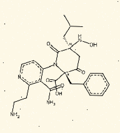 CC(C)C[C@]1(NO)CC(=O)[C@](Cc2ccccc2)(C(=O)O)N(c2ccnc(CCN)c2C(N)=O)C1=O